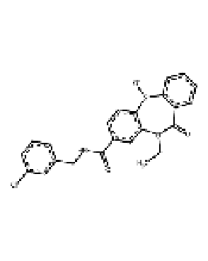 CCN1C(=O)c2ccccc2[S+]([O-])c2ccc(C(=O)NCc3cccc(Cl)c3)cc21